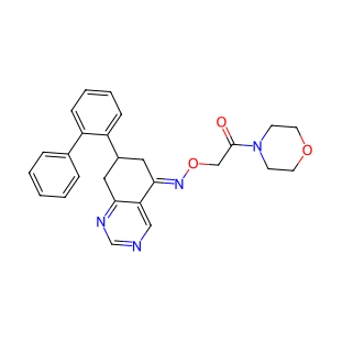 O=C(CON=C1CC(c2ccccc2-c2ccccc2)Cc2ncncc21)N1CCOCC1